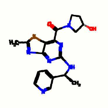 Cc1nc2nc(N[C@@H](C)c3cccnc3)nc(C(=O)N3CC[C@H](O)C3)c2s1